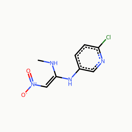 CNC(=C[N+](=O)[O-])Nc1ccc(Cl)nc1